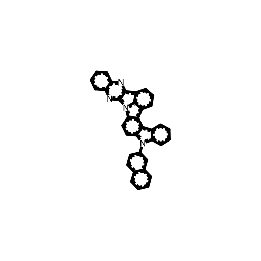 c1ccc2cc(-n3c4ccccc4c4c5c6cccc7c8nc9ccccc9nc8n(c5ccc43)c76)ccc2c1